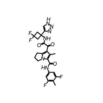 Cc1c(F)cc(NC(=O)c2c(C)c(C(=O)C(=O)NC3(c4c[nH]nn4)CC(F)(F)C3)c3n2CCC3)cc1F